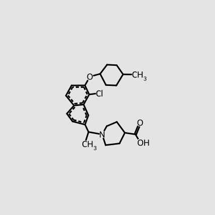 CC1CCC(Oc2ccc3ccc(C(C)N4CCC(C(=O)O)CC4)cc3c2Cl)CC1